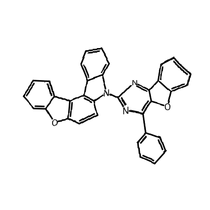 c1ccc(-c2nc(-n3c4ccccc4c4c5c(ccc43)oc3ccccc35)nc3c2oc2ccccc23)cc1